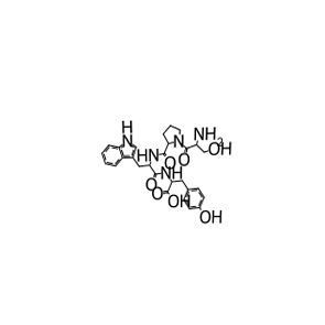 NC(CO)C(=O)N1CCCC1C(=O)NC(Cc1c[nH]c2ccccc12)C(=O)NC(Cc1ccc(O)cc1)C(=O)O